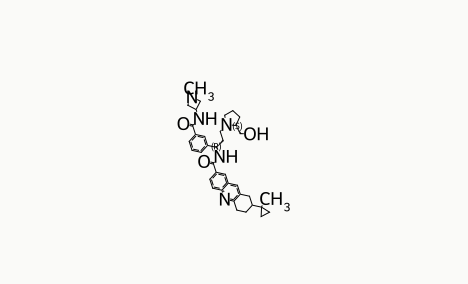 CN1CC(NC(=O)c2cccc([C@@H](CCN3CCC[C@H]3CO)NC(=O)c3ccc4nc5c(cc4c3)CC(C3(C)CC3)CC5)c2)C1